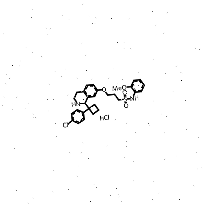 COc1ccccc1NS(=O)(=O)CCCOc1ccc2c(c1)C(C1(c3ccc(Cl)cc3)CCC1)NCC2.Cl